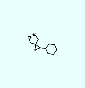 OCC1(CO)OC1C1CCCCC1